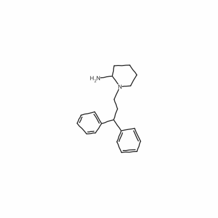 NC1CCCCN1CCC(c1ccccc1)c1ccccc1